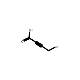 CC(C)CC#CC(=O)S